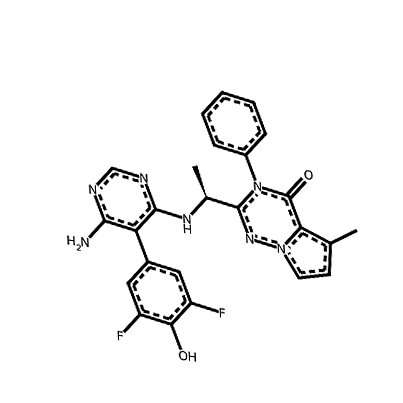 Cc1ccn2nc([C@H](C)Nc3ncnc(N)c3-c3cc(F)c(O)c(F)c3)n(-c3ccccc3)c(=O)c12